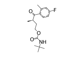 Cc1cc(F)ccc1C(=O)[C@H](C)CCOC(=O)NC(C)(C)C